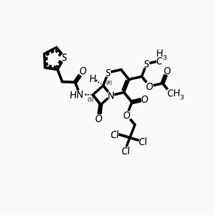 CSC(OC(C)=O)C1=C(C(=O)OCC(Cl)(Cl)Cl)N2C(=O)[C@H](NC(=O)Cc3cccs3)[C@H]2SC1